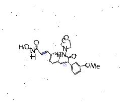 COc1cccc(/C(=C/c2ccc(/C=C/C(=O)NO)cc2)C(=O)NN2CCOCC2)c1